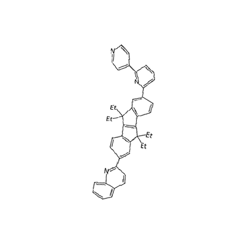 CCC1(CC)C2=C(c3ccc(-c4cccc(-c5ccncc5)n4)cc31)C(CC)(CC)c1cc(-c3ccc4ccccc4n3)ccc12